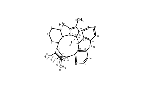 CC1=C(C)N2C3CCCCC3N3C(C)=C(C)N(c4cccc5c4P4c6c(cccc6N1[C@H]24)O5)[C@@H]3C